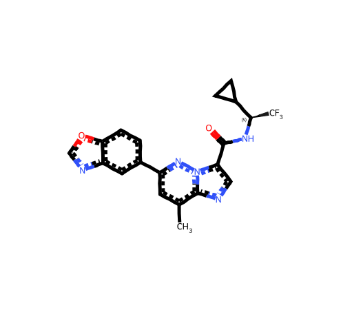 Cc1cc(-c2ccc3ocnc3c2)nn2c(C(=O)N[C@@H](C3CC3)C(F)(F)F)cnc12